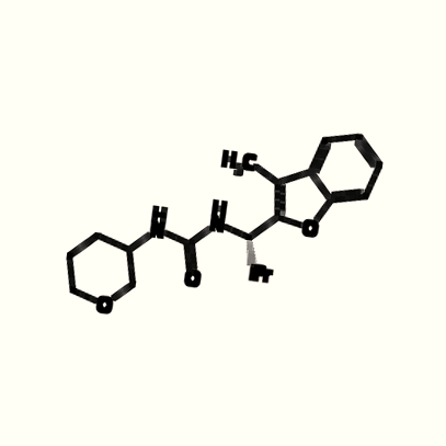 Cc1c([C@@H](NC(=O)NC2CCCOC2)C(C)C)oc2ccccc12